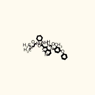 Cc1cc(Oc2ccccc2)ccc1N1C(=O)Nc2c(C(=O)N[C@@H]3CCCC[C@H]3NC(=O)CN(C)C)sc3nccc1c23